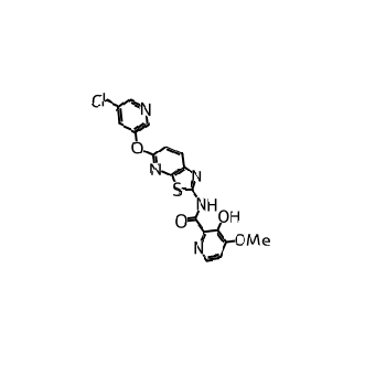 COc1ccnc(C(=O)Nc2nc3ccc(Oc4cncc(Cl)c4)nc3s2)c1O